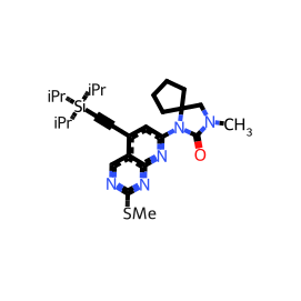 CSc1ncc2c(C#C[Si](C(C)C)(C(C)C)C(C)C)cc(N3C(=O)N(C)CC34CCCC4)nc2n1